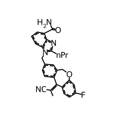 CCCc1nc2c(C(N)=O)cccc2n1Cc1ccc2c(c1)COc1cc(F)ccc1C2=C(C)C#N